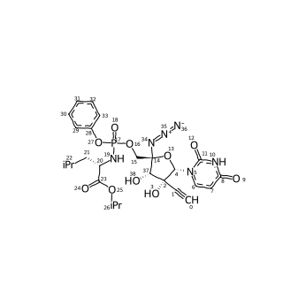 C#C[C@]1(O)[C@@H](n2ccc(=O)[nH]c2=O)O[C@@](COP(=O)(N[C@@H](CC(C)C)C(=O)OC(C)C)Oc2ccccc2)(N=[N+]=[N-])[C@H]1O